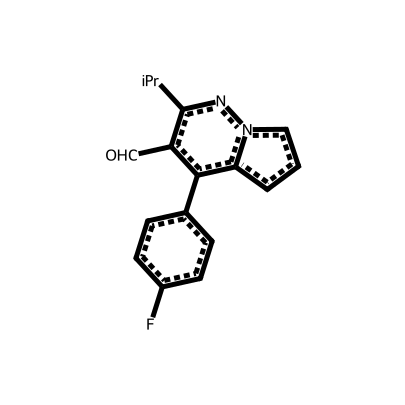 CC(C)c1nn2cccc2c(-c2ccc(F)cc2)c1C=O